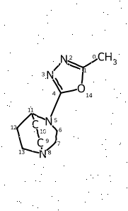 Cc1nnc(N2CCN3CCC2CC3)o1